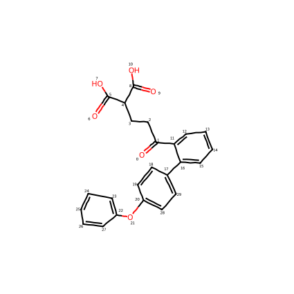 O=C(CCC(C(=O)O)C(=O)O)c1ccccc1-c1ccc(Oc2ccccc2)cc1